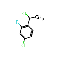 CC(Cl)c1ccc(Cl)cc1F